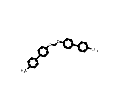 Cc1ccc(-c2ccc(OCOc3ccc(-c4ccc(C)cc4)cc3)cc2)cc1